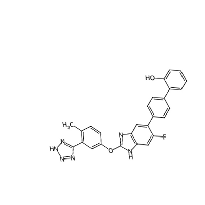 Cc1ccc(Oc2nc3cc(-c4ccc(-c5ccccc5O)cc4)c(F)cc3[nH]2)cc1-c1nn[nH]n1